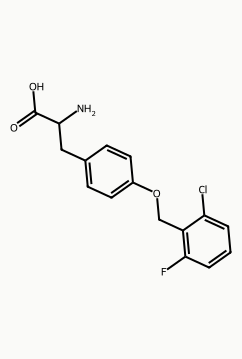 NC(Cc1ccc(OCc2c(F)cccc2Cl)cc1)C(=O)O